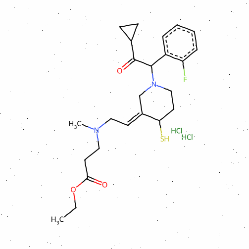 CCOC(=O)CCN(C)CC=C1CN(C(C(=O)C2CC2)c2ccccc2F)CCC1S.Cl.Cl